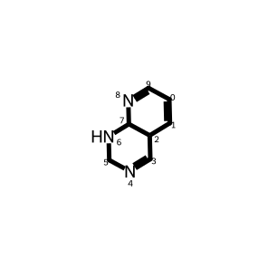 C1=CC2C=NCNC2N=C1